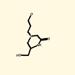 [O]CCCN1CC(=O)NC(CO)C1